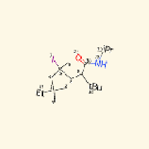 CCC(C)(C)CC(C)(I)CC(C(=O)NC(C)C)C(C)(C)C